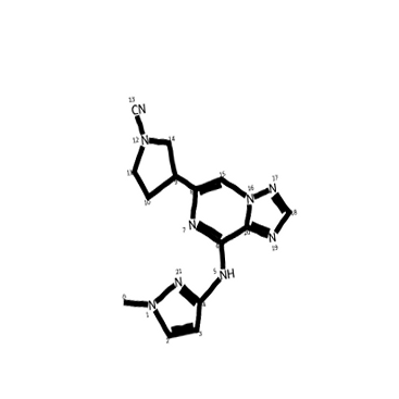 Cn1ccc(Nc2nc(C3CCN(C#N)C3)cn3ncnc23)n1